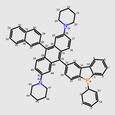 C1=CCC(p2c3ccccc3c3cc(-c4c5ccc(N6CCCCC6)cc5c(-c5ccc6ccccc6c5)c5ccc(N6CCCCC6)cc45)ccc32)C=C1